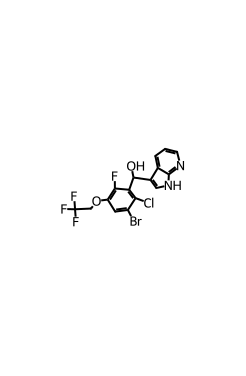 OC(c1c(F)c(OCC(F)(F)F)cc(Br)c1Cl)c1c[nH]c2ncccc12